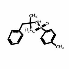 Cc1ccc(S(=O)(=O)NC(C)(C)Cc2ccccc2)cc1